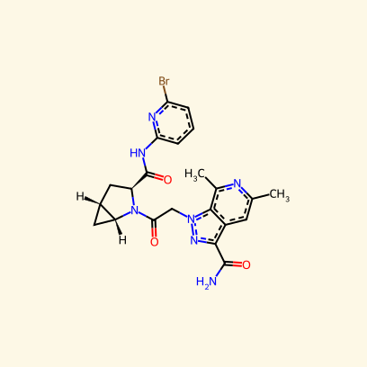 Cc1cc2c(C(N)=O)nn(CC(=O)N3[C@@H]4C[C@@H]4C[C@H]3C(=O)Nc3cccc(Br)n3)c2c(C)n1